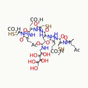 CC(=O)CC[C@H](NC(=O)[C@H](CCC(=O)O)NC(=O)[C@H](CS)NC(=O)[C@H](CCC(=O)NC[C@H](O)[C@@H](O)[C@H](O)[C@H](O)CO)NC(=O)[C@H](CCC(=O)O)NC(=O)[C@H](CS)NC(=O)[C@@H](C)CCC(C)=O)C(=O)N[C@@H](CS)C(=O)O